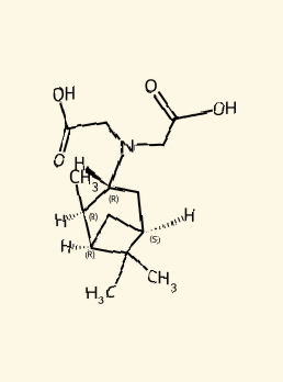 C[C@H]1[C@H](N(CC(=O)O)CC(=O)O)C[C@@H]2C[C@H]1C2(C)C